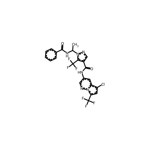 CC(NC(=O)c1ccccc1)n1ncc(C(=O)Nc2cnn3c(C(F)(F)F)cc(Cl)c3c2)c1C(F)(F)F